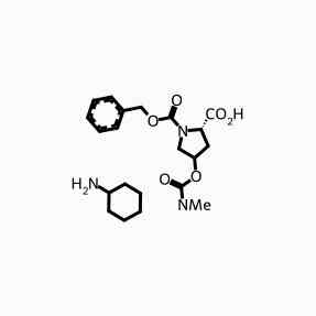 CNC(=O)OC1C[C@@H](C(=O)O)N(C(=O)OCc2ccccc2)C1.NC1CCCCC1